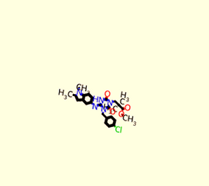 COC(=O)C(C)(C)Cn1c(=O)[nH]/c(=N\c2ccc3c(c2)cc(C)n3C)n(Cc2ccc(Cl)cc2)c1=O